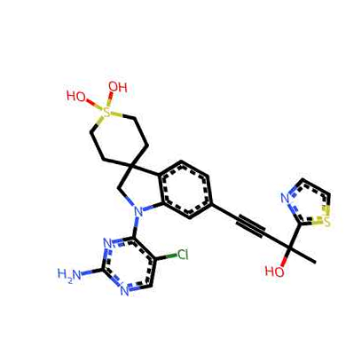 CC(O)(C#Cc1ccc2c(c1)N(c1nc(N)ncc1Cl)CC21CCS(O)(O)CC1)c1nccs1